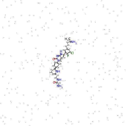 C[C@H](N)CCCc1cc(Cl)c(F)c(-c2cc3cn(-c4ccc([C@@H]5CCC[C@@H](CCNC(=O)CN)N5)cc4)c(=O)nc3[nH]2)c1